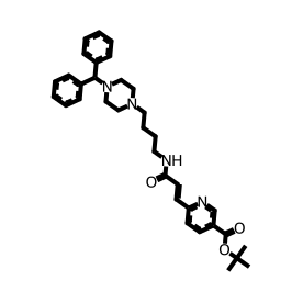 CC(C)(C)OC(=O)c1ccc(C=CC(=O)NCCCCN2CCN(C(c3ccccc3)c3ccccc3)CC2)nc1